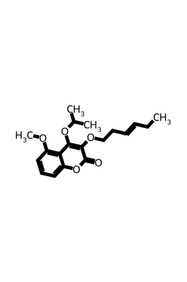 CCC=CCCOc1c(OC(C)C)c2c(OC)cccc2oc1=O